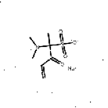 C=CC(=O)C(C)(N(C)C)S(=O)(=O)[O-].[Na+]